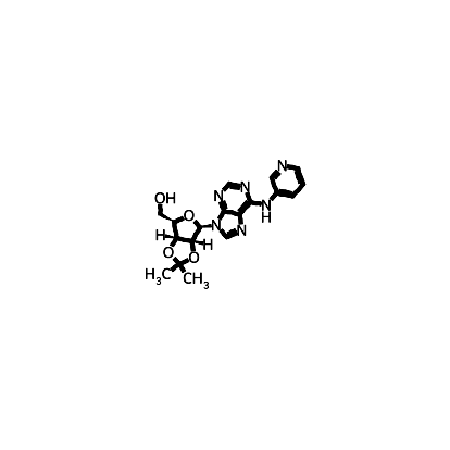 CC1(C)O[C@@H]2[C@H](O1)[C@@H](CO)O[C@H]2n1cnc2c(Nc3cccnc3)ncnc21